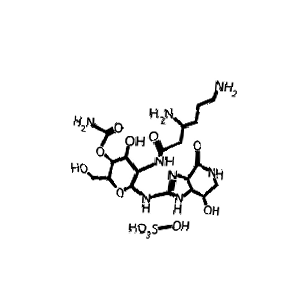 NCCCC(N)CC(=O)NC1C(NC2=NC3C(=O)NCC(O)C3N2)OC(CO)C(OC(N)=O)C1O.O=S(=O)(O)O